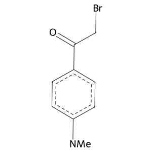 CNc1ccc(C(=O)CBr)cc1